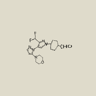 O=CC1CCC(n2cc(-n3nccc3N3CCOCC3)c(C(F)F)n2)CC1